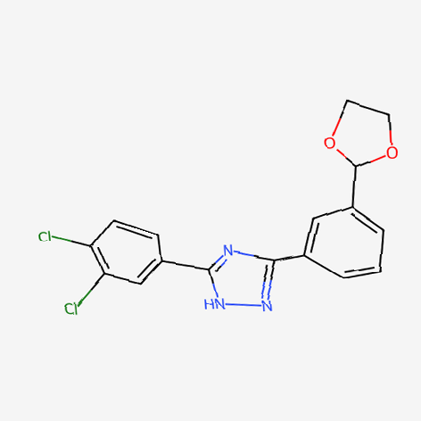 Clc1ccc(-c2nc(-c3cccc(C4OCCO4)c3)n[nH]2)cc1Cl